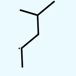 C[CH]CC(C)C